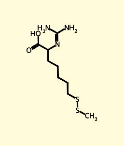 CSSCCCCCC(N=C(N)N)C(=O)O